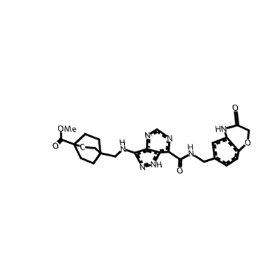 COC(=O)C12CCC(CNc3n[nH]c4c(C(=O)NCc5ccc6c(c5)NC(=O)CO6)ncnc34)(CC1)CC2